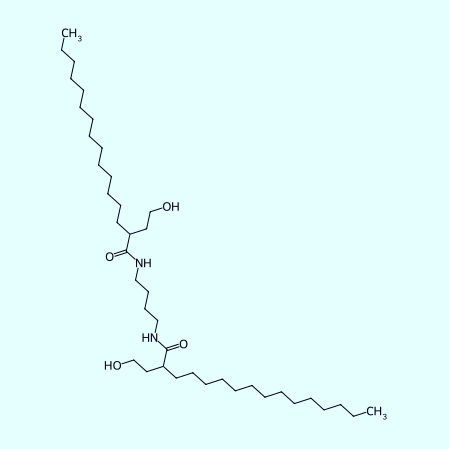 CCCCCCCCCCCCCCC(CCO)C(=O)NCCCCNC(=O)C(CCO)CCCCCCCCCCCCCC